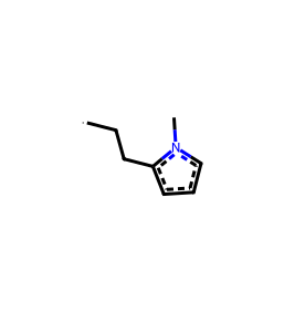 [CH2]CCc1cccn1C